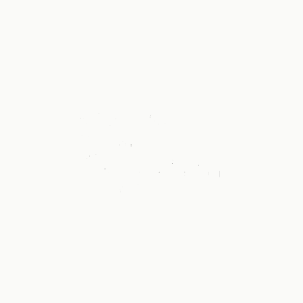 CCCCCC(c1ccccc1)c1[c]ccc2c1Oc1ccccc1O2